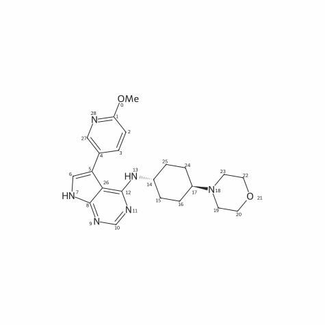 COc1ccc(-c2c[nH]c3ncnc(N[C@H]4CC[C@H](N5CCOCC5)CC4)c23)cn1